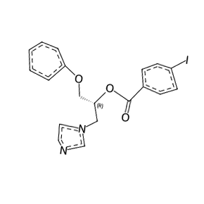 O=C(O[C@@H](COc1ccccc1)Cn1ccnc1)c1ccc(I)cc1